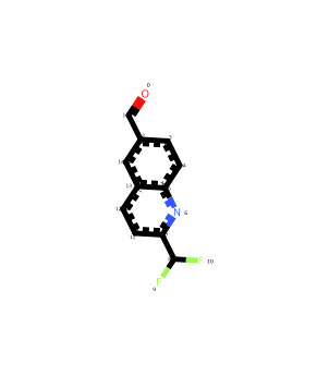 O=Cc1ccc2nc(C(F)F)ccc2c1